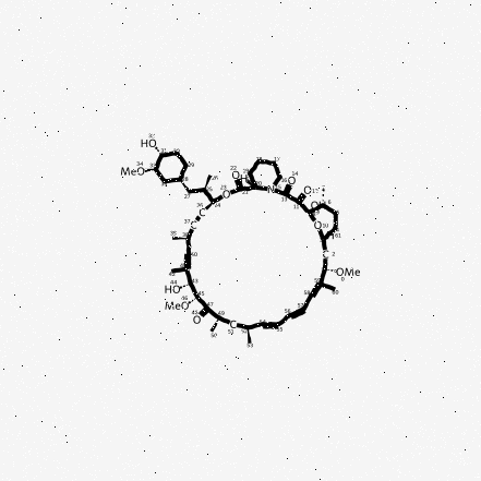 CO[C@H]1C[C@@H]2CC[C@@H](C)[C@@](O)(O2)C(=O)C(=O)N2CCCC[C@H]2C(=O)O[C@H]([C@H](C)C[C@@H]2CC[C@@H](O)[C@H](OC)C2)CC[C@H](C)/C=C(\C)[C@@H](O)[C@@H](OC)C(=O)[C@H](C)C[C@H](C)/C=C/C=C/C=C/1C